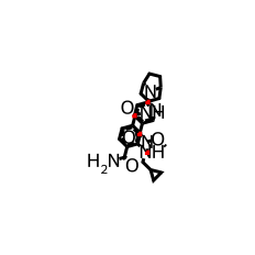 CON(C)C(=O)c1ccc(N2C3CCC2CC(NC(=O)c2ccc(C(N)=O)c(NCC4CC4)c2)C3)nc1